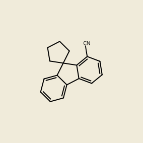 N#Cc1cccc2c1C1(CCCC1)c1ccccc1-2